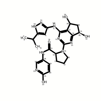 CC(C)c1cc(Nc2nc(N3CCCC3C(=O)Nc3ccc(O)nc3)nc3c2C(O)C[C@H]3O)n[nH]1